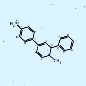 CC1C=CC(c2ccc(P)cc2)=CC1c1ccccc1